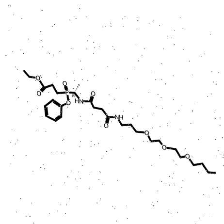 CCCCOCCOCCOCCCNC(=O)CCC(=O)N[C@@H](C)P(=O)(CCC(=O)OCC)Oc1ccccc1